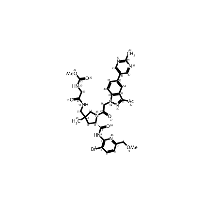 COCc1ccc(Br)c(NC(=O)[C@@H]2CC(C)(CNC(=O)CNC(=O)OC)CN2C(=O)Cn2nc(C(C)=O)c3cc(-c4cnc(C)nc4)ccc32)n1